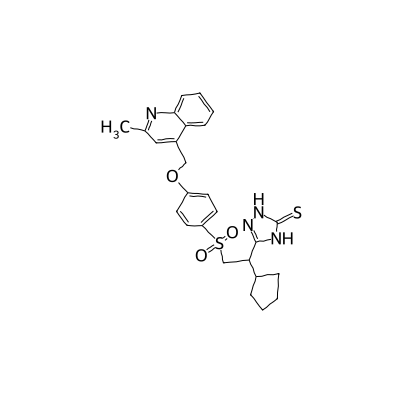 Cc1cc(COc2ccc(S(=O)(=O)CC(c3n[nH]c(=S)[nH]3)C3CCCC3)cc2)c2ccccc2n1